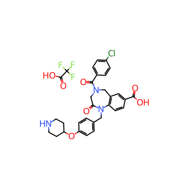 O=C(O)C(F)(F)F.O=C(O)c1ccc2c(c1)CN(C(=O)c1ccc(Cl)cc1)CC(=O)N2Cc1ccc(OC2CCNCC2)cc1